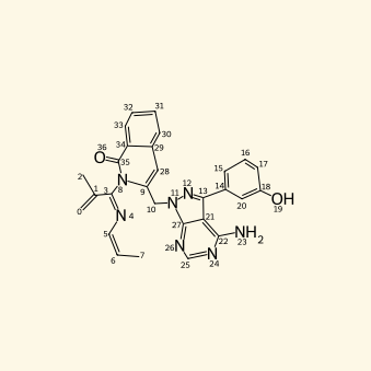 C=C(C)/C(=N\C=C/C)n1c(Cn2nc(-c3cccc(O)c3)c3c(N)ncnc32)cc2ccccc2c1=O